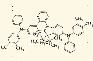 Cc1ccc(N(c2ccccc2)c2ccc3c(c2)C([Si](C)(C)C)([Si](C)(C)C)c2c-3c3ccccc3c3cc(N(c4ccccc4)c4ccc(C)c(C)c4)ccc23)cc1C